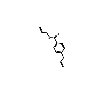 C=CCSC(=O)c1ccc(CC=C)cc1